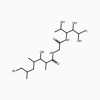 CC(=O)C(O)C(O)C(NC(=O)CNC(=O)C(C)C(O)C(C)CC(C)CC(C)C)C(C)O